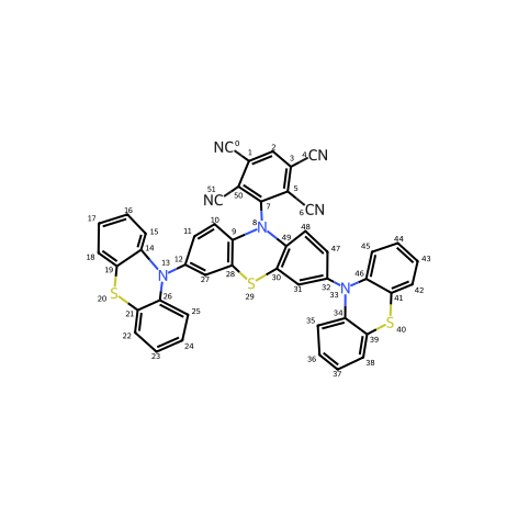 N#Cc1cc(C#N)c(C#N)c(N2c3ccc(N4c5ccccc5Sc5ccccc54)cc3Sc3cc(N4c5ccccc5Sc5ccccc54)ccc32)c1C#N